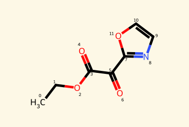 CCOC(=O)C(=O)c1ncco1